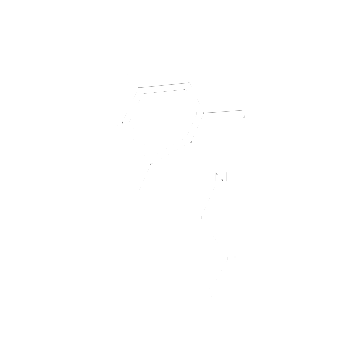 Cc1cc(C)c(NCCS(=O)(=O)O)c(C)c1